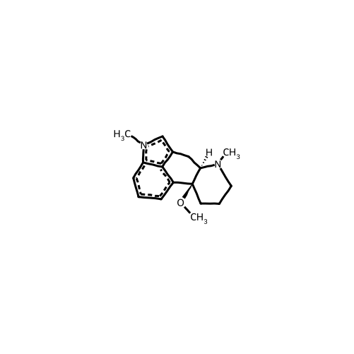 CO[C@]12CCCN(C)[C@@H]1Cc1cn(C)c3cccc2c13